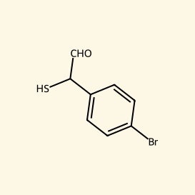 O=CC(S)c1ccc(Br)cc1